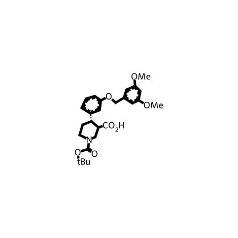 COc1cc(COc2cccc([C@H]3CCN(C(=O)OC(C)(C)C)CC3C(=O)O)c2)cc(OC)c1